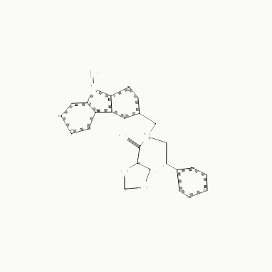 CCn1c2ccccc2c2cc(CN(CCc3ccccc3)C(=O)C3COCO3)ccc21